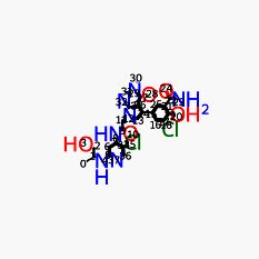 C[C@@H](CO)Nc1cc(NC(=O)Cn2cc(-c3cc(Cl)c(O)c(C(N)=O)c3)c3c(=O)n(C)cnc32)c(Cl)cn1